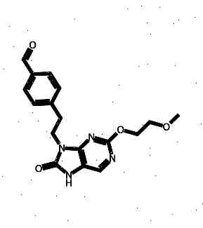 COCCOc1ncc2[nH]c(=O)n(CCc3ccc(C=O)cc3)c2n1